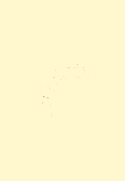 CC(C)(C)c1cc2cc(CC(C)(C)c3cc4ccccc4s3)ccc2o1